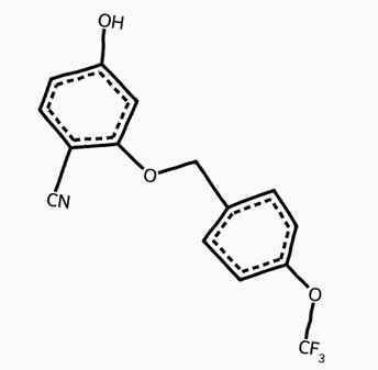 N#Cc1ccc(O)cc1OCc1ccc(OC(F)(F)F)cc1